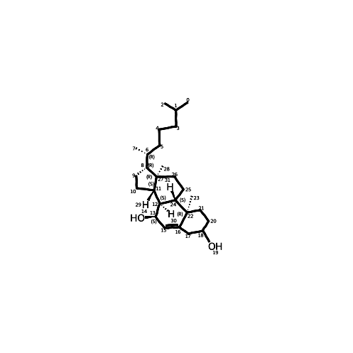 CC(C)CCC[C@@H](C)[C@H]1CC[C@H]2[C@@H]3[C@H](O)C=C4CC(O)CC[C@]4(C)[C@H]3CC[C@]12C